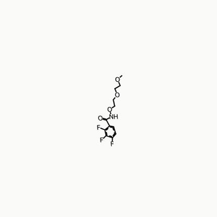 COCCOCCONC(=O)c1ccc(F)c(F)c1F